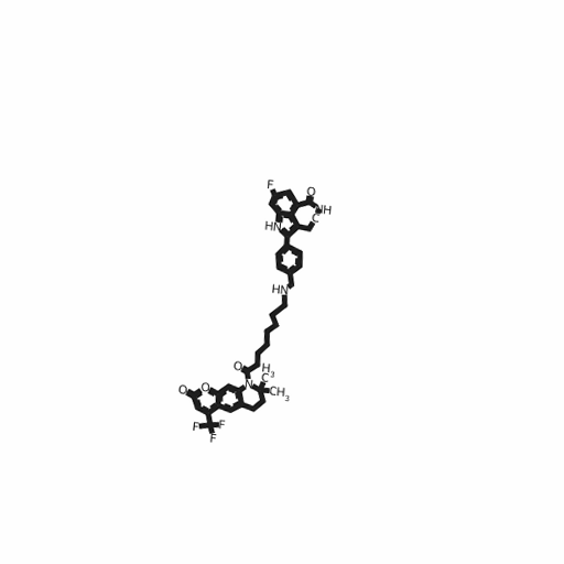 CC1(C)CCc2cc3c(C(F)(F)F)cc(=O)oc3cc2N1C(=O)CCCCCCCNCc1ccc(-c2[nH]c3cc(F)cc4c3c2CCNC4=O)cc1